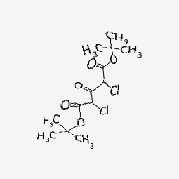 CC(C)(C)OC(=O)C(Cl)C(=O)C(Cl)C(=O)OC(C)(C)C